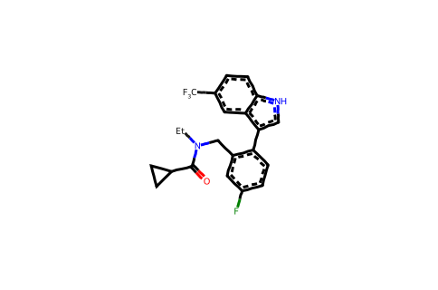 CCN(Cc1cc(F)ccc1-c1c[nH]c2ccc(C(F)(F)F)cc12)C(=O)C1CC1